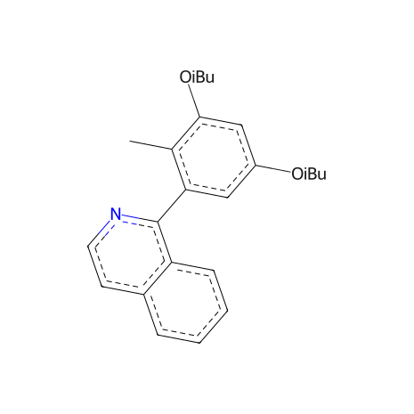 Cc1c(OCC(C)C)cc(OCC(C)C)cc1-c1nccc2ccccc12